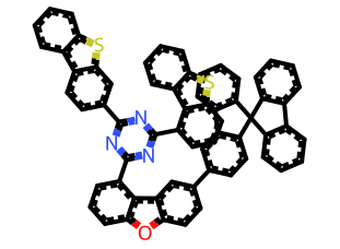 c1ccc2c(c1)-c1ccccc1C21c2ccccc2-c2cc(-c3ccc4oc5cccc(-c6nc(-c7ccc8c(c7)sc7ccccc78)nc(-c7cccc8sc9ccccc9c78)n6)c5c4c3)ccc21